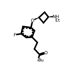 CCN[C@H]1C[C@@H](Oc2cc(F)cc(CCC(=O)C(C)CC)c2)C1